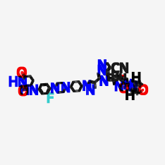 CC(C)(C)CC(=O)N1[C@@H]2COC[C@H]1CN(c1ccc(-c3nc(-c4cnn([C@H]5CC[C@@H](N6CCN(c7ccc(NC8CCC(=O)NC8=O)cc7F)CC6)CC5)c4)cn4ncc(C#N)c34)cn1)C2